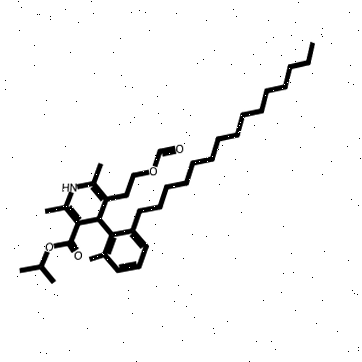 CCCCCCCCCCCCCCCc1cccc(C)c1C1C(CCOC=O)=C(C)NC(C)=C1C(=O)OC(C)C